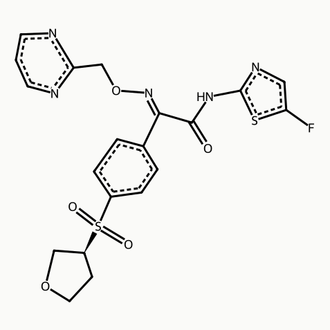 O=C(Nc1ncc(F)s1)/C(=N/OCc1ncccn1)c1ccc(S(=O)(=O)[C@H]2CCOC2)cc1